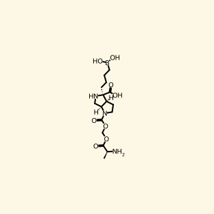 C[C@H](N)C(=O)OCOC(=O)N1CC[C@H]2[C@@H]1CN[C@@]2(CCCCB(O)O)C(=O)O